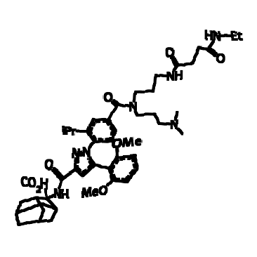 CCNC(=O)CCC(=O)NCCCN(CCCN(C)C)C(=O)c1ccc(-n2nc(C(=O)NC3(C(=O)O)C4CC5CC(C4)CC3C5)cc2-c2c(OC)cccc2OC)c(C(C)C)c1